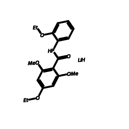 CCOc1cc(OC)c(C(=O)Pc2ccccc2OCC)c(OC)c1.[LiH]